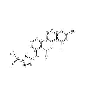 CC(C)(C)c1cc(F)c2c(=O)n(-c3cccc(Cc4c[nH]c(C(N)=O)n4)c3CO)ncc2c1